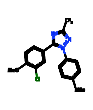 COc1ccc(-c2nc(C(F)(F)F)nn2-c2ccc(SC)cc2)cc1Cl